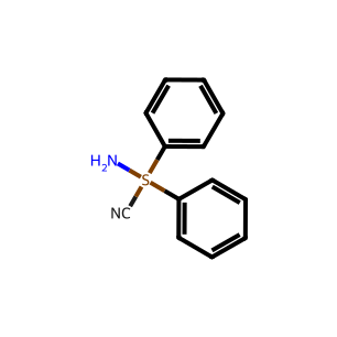 N#CS(N)(c1ccccc1)c1ccccc1